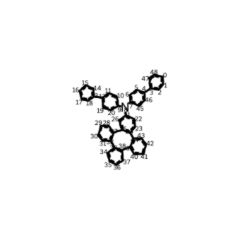 c1ccc(-c2ccc(N(c3ccc(-c4ccccc4)cc3)c3ccc4c(c3)-c3ccccc3-c3ccccc3-c3ccccc3-4)cc2)cc1